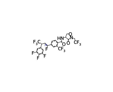 O=C(NC1CON(CC(F)(F)F)C1=O)c1ccc(/C(F)=C/C(c2cc(F)c(F)c(F)c2)C(F)(F)F)cc1C(F)(F)F